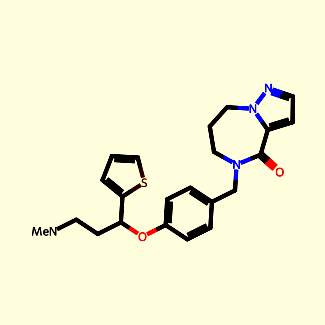 CNCCC(Oc1ccc(CN2CCCn3nccc3C2=O)cc1)c1cccs1